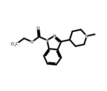 CN1CCC(c2nn(C(=O)OCC(Cl)(Cl)Cl)c3ccccc23)CC1